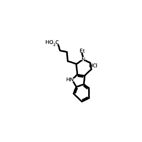 CCN1CCc2c([nH]c3ccccc23)C1CCCC(=O)O.Cl